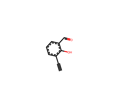 C#Cc1cccc(C=O)c1O